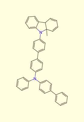 CC12C=CC=CC1c1ccccc1N2c1ccc(-c2ccc(N(c3ccccc3)c3ccc(-c4ccccc4)cc3)cc2)cc1